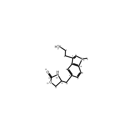 Cn1cc(CCN)c2cc(CC3COC(=O)N3)ccc21